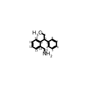 CCC(c1ccccc1)c1ccccc1CN